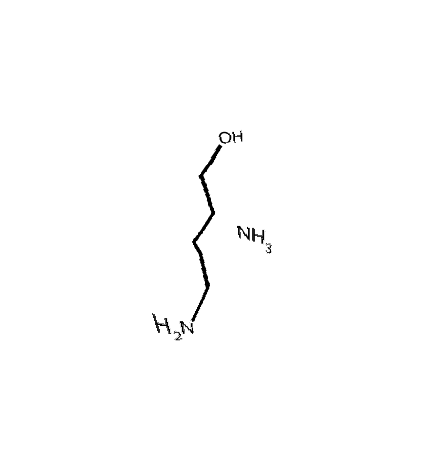 N.NCCCCO